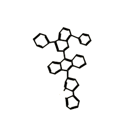 c1ccc(-c2cc(-c3c4ccccc4c(-c4ccc5c(c4)oc4ccccc45)c4ccccc34)cc3c(-c4ccccc4)cccc23)cc1